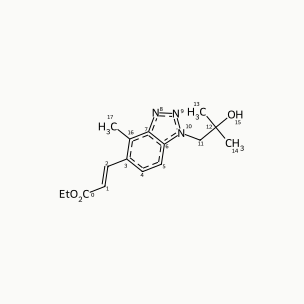 CCOC(=O)/C=C/c1ccc2c(nnn2CC(C)(C)O)c1C